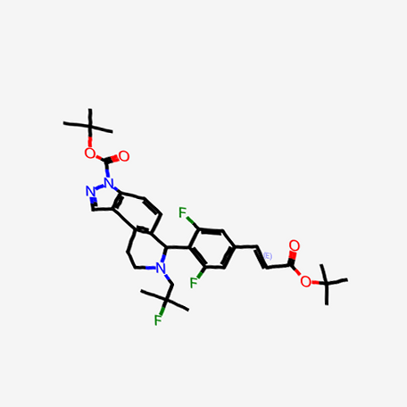 CC(C)(F)CN1CCc2c(ccc3c2cnn3C(=O)OC(C)(C)C)C1c1c(F)cc(/C=C/C(=O)OC(C)(C)C)cc1F